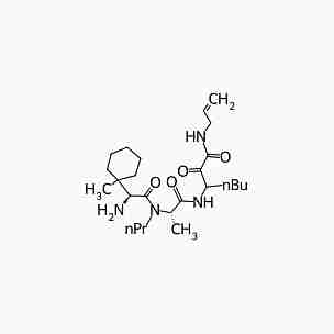 C=CCNC(=O)C(=O)C(CCCC)NC(=O)[C@H](C)N(CCC)C(=O)[C@@H](N)C1(C)CCCCC1